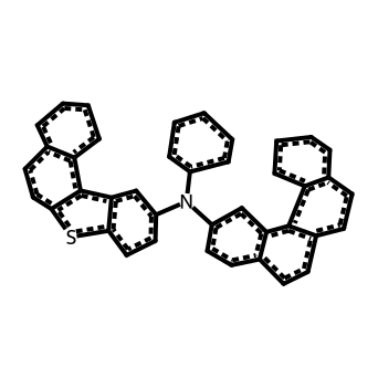 c1ccc(N(c2ccc3ccc4ccc5ccccc5c4c3c2)c2ccc3sc4ccc5ccccc5c4c3c2)cc1